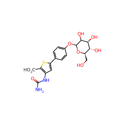 NC(=O)Nc1cc(-c2ccc(OC3O[C@H](CO)[C@@H](O)[C@H](O)C3O)cc2)sc1C(=O)O